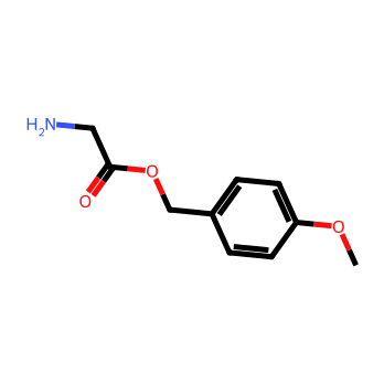 COc1ccc(COC(=O)CN)cc1